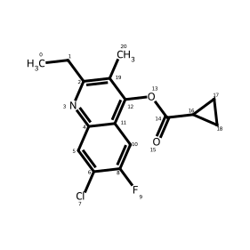 CCc1nc2cc(Cl)c(F)cc2c(OC(=O)C2CC2)c1C